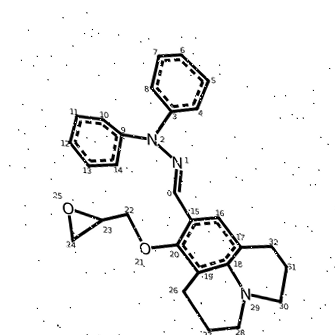 C(=N\N(c1ccccc1)c1ccccc1)/c1cc2c3c(c1OCC1CO1)CCCN3CCC2